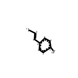 Fc1ccc(C=CI)cc1